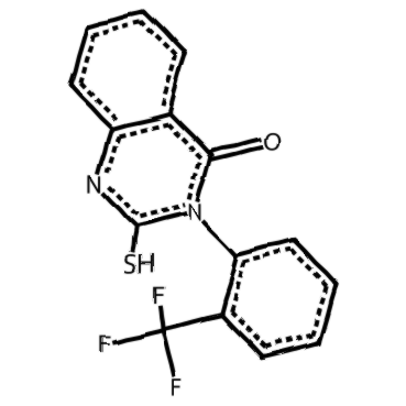 O=c1c2ccccc2nc(S)n1-c1ccccc1C(F)(F)F